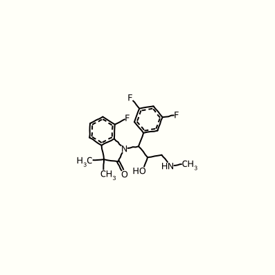 CNCC(O)C(c1cc(F)cc(F)c1)N1C(=O)C(C)(C)c2cccc(F)c21